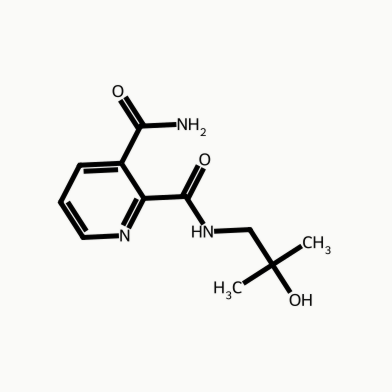 CC(C)(O)CNC(=O)c1ncccc1C(N)=O